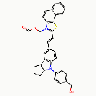 O=COC[n+]1c(/C=C/c2ccc3c(c2)C2CCCC2N3c2ccc(CO)cc2)sc2c3ccccc3ccc21